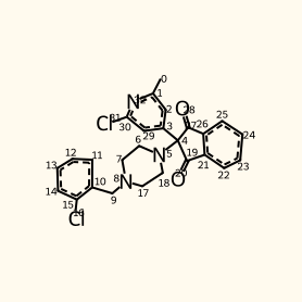 Cc1cc(C2(N3CCN(Cc4ccccc4Cl)CC3)C(=O)c3ccccc3C2=O)cc(Cl)n1